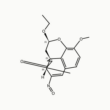 CCO[C@@H]1C[C@]23C=CC(=O)C[C@H]2C(N=O)=Cc2ccc(OC)c(c23)O1